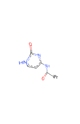 CC(C)C(=O)Nc1cc[nH]c(=O)n1